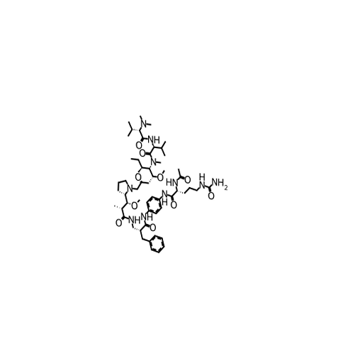 CC[C@H](C)[C@@H]([C@@H](CC(=O)CN1CCC[C@H]1[C@H](OC)[C@@H](C)C(=O)NC[C@@H](Cc1ccccc1)C(=O)Nc1ccc(NC(=O)[C@@H](CCCNC(N)=O)NC(C)=O)cc1)OC)N(C)C(=O)[C@@H](NC(=O)[C@H](C(C)C)N(C)C)C(C)C